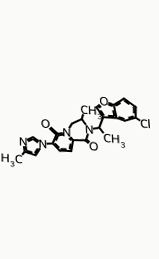 Cc1cn(-c2ccc3n(c2=O)CC(C)N(C(C)c2coc4ccc(Cl)cc24)C3=O)cn1